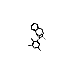 Cc1cc(C)c(C)c(N2C3CN(Cc4ccccc43)[C@@H]2C)c1